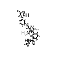 CC1=CN(c2cccc(COc3ncn(-c4cc(C(=O)NC5CC5)ccc4C)c3N)c2)NO1